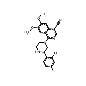 COc1cc2c(C#N)cnc(N3CCNC(c4ccc(Cl)cc4Cl)C3)c2cc1OC